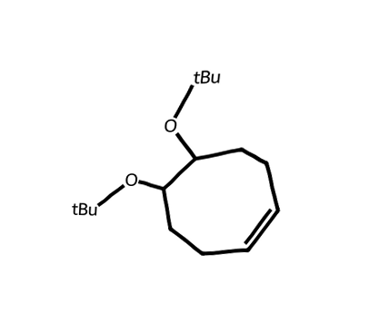 CC(C)(C)OC1CCC=CCCC1OC(C)(C)C